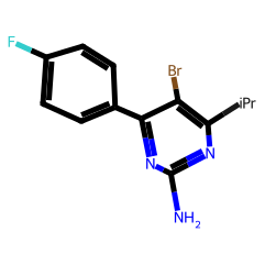 CC(C)c1nc(N)nc(-c2ccc(F)cc2)c1Br